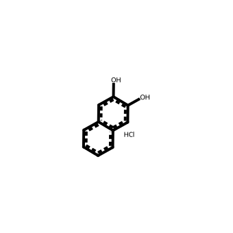 Cl.Oc1cc2ccccc2cc1O